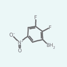 Bc1cc([N+](=O)[O-])cc(F)c1F